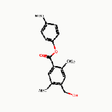 COc1ccc(OC(=O)c2cc(OC)c(CO)cc2OC)cc1